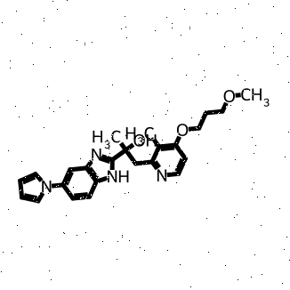 COCCCOc1ccnc(CC(C)(O)c2nc3cc(-n4cccc4)ccc3[nH]2)c1C